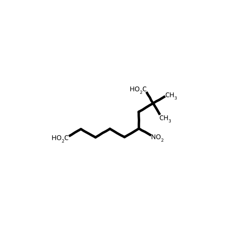 CC(C)(CC(CCCCC(=O)O)[N+](=O)[O-])C(=O)O